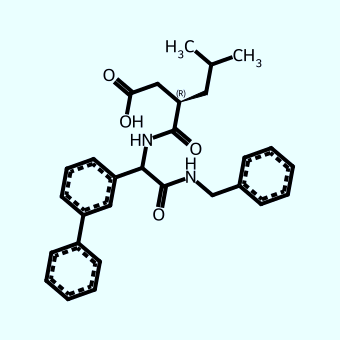 CC(C)C[C@H](CC(=O)O)C(=O)NC(C(=O)NCc1ccccc1)c1cccc(-c2ccccc2)c1